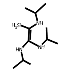 CC(C)NC([SiH3])=C(NC(C)C)NC(C)C